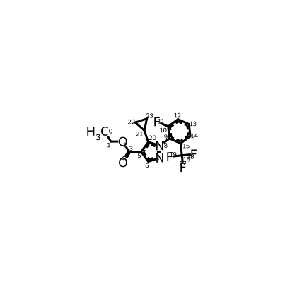 CCOC(=O)c1cnn(-c2c(F)cccc2C(F)(F)F)c1C1CC1